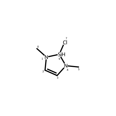 CN1C=CN(C)[SiH]1Cl